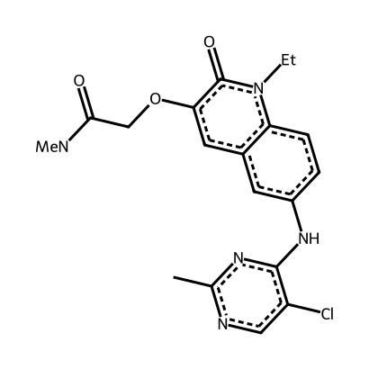 CCn1c(=O)c(OCC(=O)NC)cc2cc(Nc3nc(C)ncc3Cl)ccc21